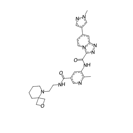 Cc1ncc(C(=O)NCCN2CCCCC23COC3)cc1NC(=O)c1nnc2cc(-c3cnn(C)c3)ccn12